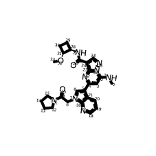 CNc1cc(-c2cn(CC(=O)N3CCCC3)c3ncccc23)nc2c(C(=O)N[C@@H]3CC[C@H]3OC)cnn12